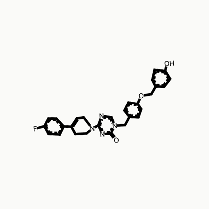 O=c1nc(N2CC=C(c3ccc(F)cc3)CC2)ncn1Cc1ccc(OCc2ccc(O)cc2)cc1